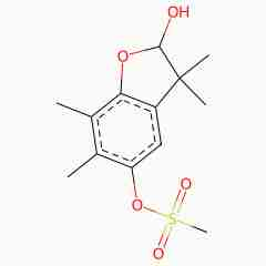 Cc1c(OS(C)(=O)=O)cc2c(c1C)OC(O)C2(C)C